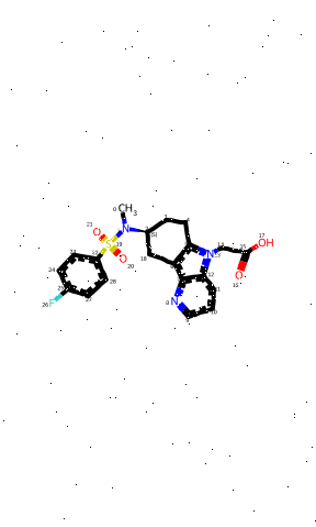 CN([C@H]1CCc2c(c3ncccc3n2CC(=O)O)C1)S(=O)(=O)c1ccc(F)cc1